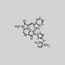 CC(C)n1c(=O)n(C)c2cnc3[nH]c(-c4cnn(CC(C)(C)O)c4)c(-c4cc5cnccc5s4)c3c21